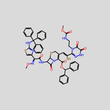 CON=C(C(=O)NC1C(=O)N2C(C(=O)OC(c3ccccc3)c3ccccc3)=C(C=C(S)c3n[nH]c(=O)c(=O)n3CCNC(=O)OC)CSC12)c1csc(NC(c2ccccc2)(c2ccccc2)c2ccccc2)n1